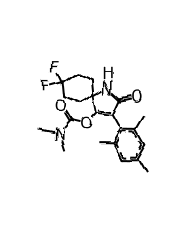 Cc1cc(C)c(C2=C(OC(=O)N(C)C)C3(CCC(F)(F)CC3)NC2=O)c(C)c1